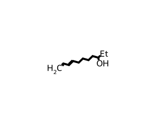 C=CC=CCCCCC(O)CC